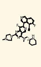 C#Cc1c(F)ccc2cncc(-c3ncc4c(N(C)C[C@H]5CCCCN5)nc(N5CCN(C)CC5)nc4c3F)c12